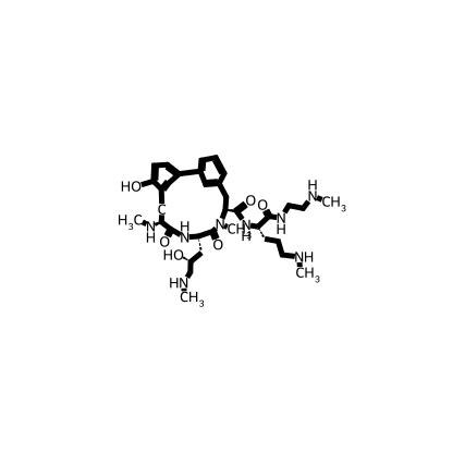 CNCCC[C@H](NC(=O)[C@@H]1Cc2cccc(c2)-c2ccc(O)c(c2)C[C@H](NC)C(=O)N[C@@H](C[C@@H](O)CNC)C(=O)N1C)C(=O)NCCNC